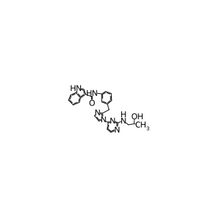 CC(O)CNc1nccc(-n2ccnc2Cc2cccc(NC(=O)c3c[nH]c4ccccc34)c2)n1